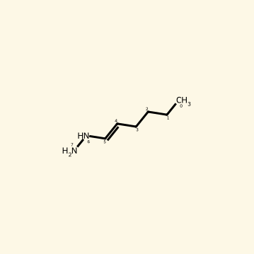 CCCCC=CNN